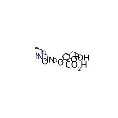 C#C/C=C(CC(=O)N1CC(Oc2ccc3c(c2C(=O)O)OB(O)CC3)C1)\N=C/C